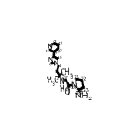 CC(C)(CCn1cnc(-c2cccnc2)c1)NCC(=O)N1CCC[C@H]1N